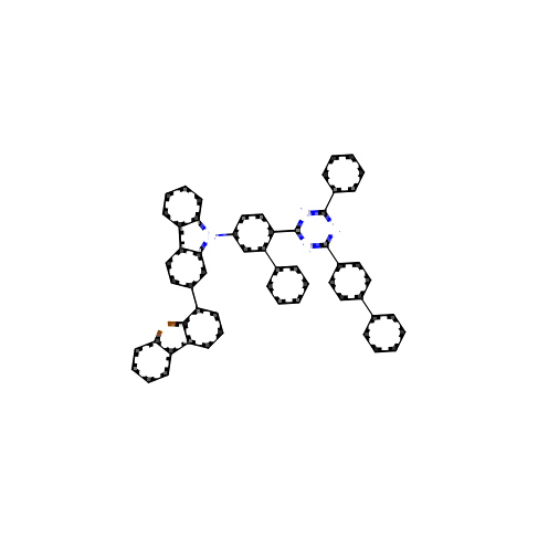 c1ccc(-c2ccc(-c3nc(-c4ccccc4)nc(-c4ccc(-n5c6ccccc6c6ccc(-c7cccc8c7sc7ccccc78)cc65)cc4-c4ccccc4)n3)cc2)cc1